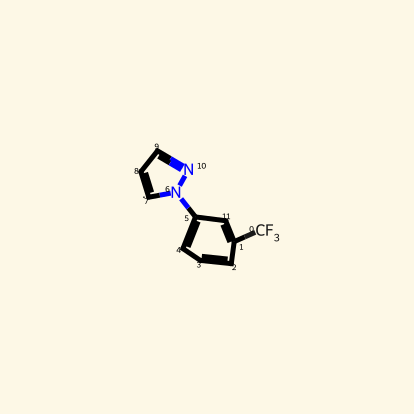 FC(F)(F)c1cccc(-n2[c]ccn2)c1